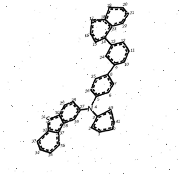 c1ccc(N(c2ccc(-c3cccc(-c4cccc5ccccc45)c3)cc2)c2ccc3sc4ccccc4c3c2)cc1